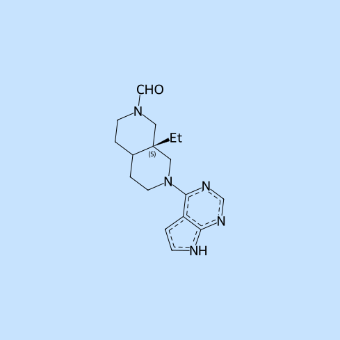 CC[C@]12CN(C=O)CCC1CCN(c1ncnc3[nH]ccc13)C2